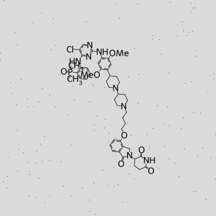 COc1cc(C2CCN(C3CCN(CCCCOc4cccc5c4CN(C4CCC(=O)NC4=O)C5=O)CC3)CC2)c(OC)cc1Nc1ncc(Cl)c(Nc2ccccc2P(C)(C)=O)n1